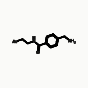 CC(=O)CCNC(=O)c1ccc(CN)cc1